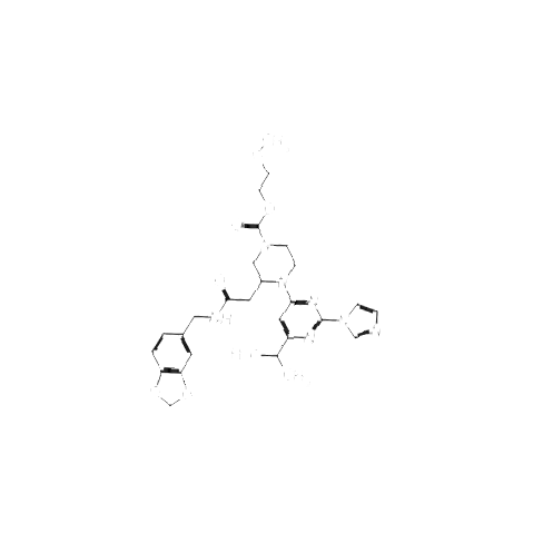 COCCOC(=O)N1CCN(c2cc(C(C)C)nc(-n3ccnc3)n2)C(CC(=O)NCc2ccc3c(c2)OCO3)C1